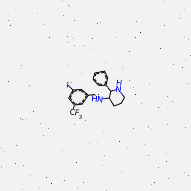 FC(F)(F)c1cc(I)cc(CNC2CCCNC2c2ccccc2)c1